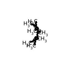 CCCCN(CCCC)c1ccc(C=CC=CC(OC)c2ccc(N(CCCC)CCCC)cc2C)c(C)c1